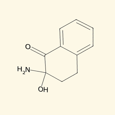 NC1(O)CCc2ccccc2C1=O